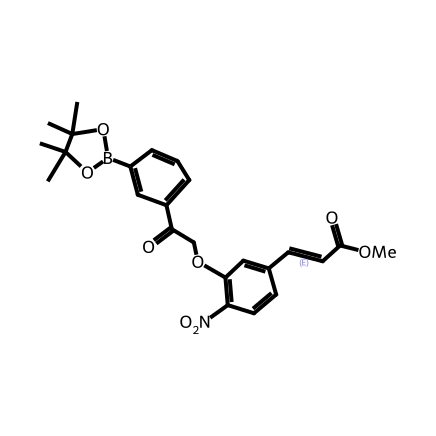 COC(=O)/C=C/c1ccc([N+](=O)[O-])c(OCC(=O)c2cccc(B3OC(C)(C)C(C)(C)O3)c2)c1